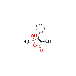 CC1=C(c2ccccc2)C(C)(O)OC1=O